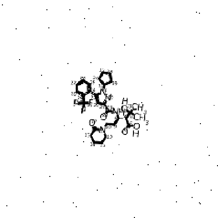 CC(C)(C)[C@H](C(=O)O)C(CCN1CCCCC1=O)NC(=O)c1cc(-c2ccccc2C(F)(F)F)n(C2CCCC2)n1